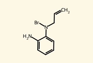 C=CCN(Br)c1ccccc1N